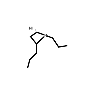 CCCC1CCN1CCC.N